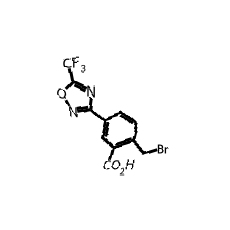 O=C(O)c1cc(-c2noc(C(F)(F)F)n2)ccc1CBr